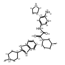 C[C@H]1CC[C@H](c2ccc3sc(C4CCN(C)CC4)nc3c2)N(C(=O)C(=O)Nc2cnc(N)c([C@@H]3CCOC3)c2)C1